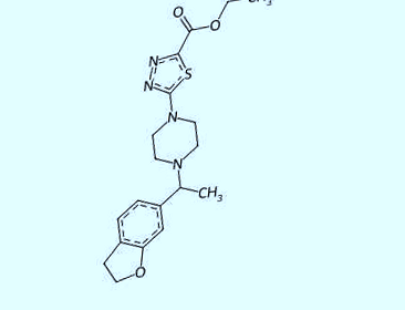 CCOC(=O)c1nnc(N2CCN(C(C)c3ccc4c(c3)OCC4)CC2)s1